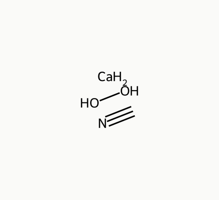 C#N.OO.[CaH2]